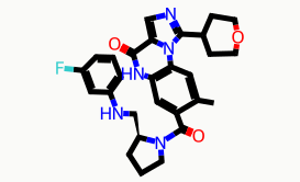 Cc1cc2c(cc1C(=O)N1CCC[C@H]1CNc1cccc(F)c1)[nH]c(=O)c1cnc(C3CCOCC3)n12